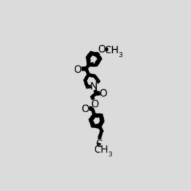 CCCCc1ccc(C(=O)OCC(=O)N2CCC(C(=O)c3ccc(OC)cc3)CC2)cc1